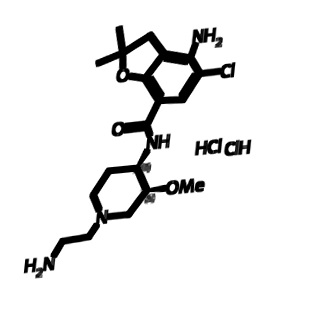 CO[C@H]1CN(CCN)CC[C@H]1NC(=O)c1cc(Cl)c(N)c2c1OC(C)(C)C2.Cl.Cl